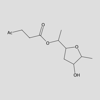 CC(=O)CCC(=O)OC(C)C1CC(O)C(C)O1